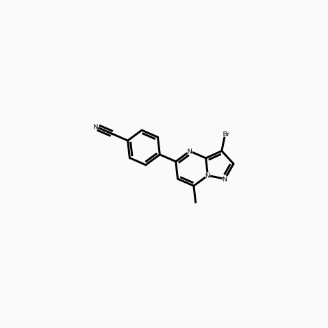 Cc1cc(-c2ccc(C#N)cc2)nc2c(Br)cnn12